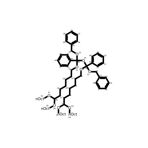 CCCCCCCCOC(CCCCCCOC(OCc1ccccc1)(OC(OCCCCCCC(OCCCCCCCC)OCCCCCCCC)(OCc1ccccc1)c1ccccc1)c1ccccc1)OCCCCCCCC